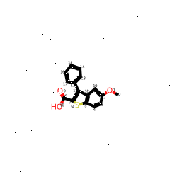 COc1ccc2sc(C(=O)O)c(-c3ccccc3)c2c1